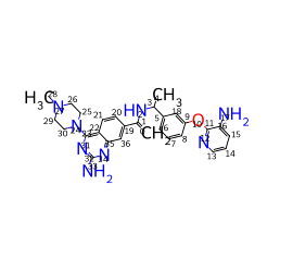 C=C(NC(C)c1cccc(Oc2ncccc2N)c1)c1ccc2c(N3CCN(C)CC3)nc(N)nc2c1